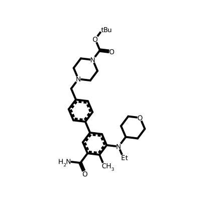 CCN(c1cc(-c2ccc(CN3CCN(C(=O)OC(C)(C)C)CC3)cc2)cc(C(N)=O)c1C)C1CCOCC1